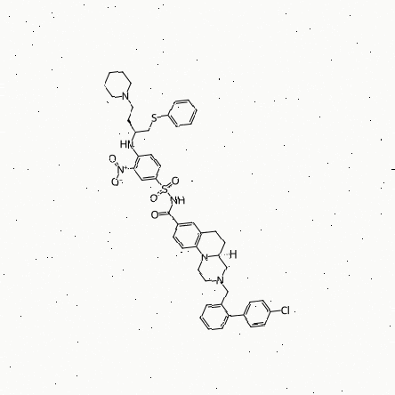 O=C(NS(=O)(=O)c1ccc(N[C@@H](CCN2CCCCC2)CSc2ccccc2)c([N+](=O)[O-])c1)c1ccc2c(c1)CC[C@H]1CN(Cc3ccccc3-c3ccc(Cl)cc3)CCN21